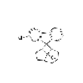 Clc1ccc2c(c1)C1(c3ccccc3-2)C2CC3CC4CC1C2(C3)C4